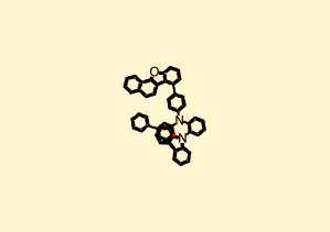 c1ccc(-c2cccc(N(c3ccc(-c4cccc5oc6c7ccccc7ccc6c45)cc3)c3ccccc3-n3c4ccccc4c4ccccc43)c2)cc1